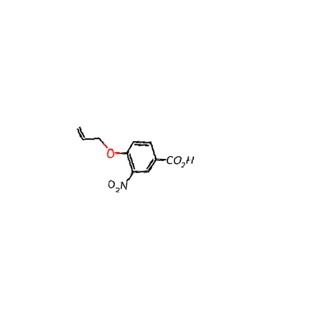 C=CCOc1ccc(C(=O)O)cc1[N+](=O)[O-]